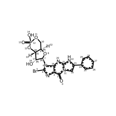 O=c1c2nc(Br)n([C@@H]3O[C@@H]4COP(=O)(O)O[C@H]4[C@H]3O)c2nc2[nH]c(-c3ccccc3)cn12